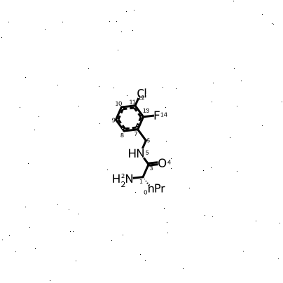 CCC[C@H](N)C(=O)NCc1cccc(Cl)c1F